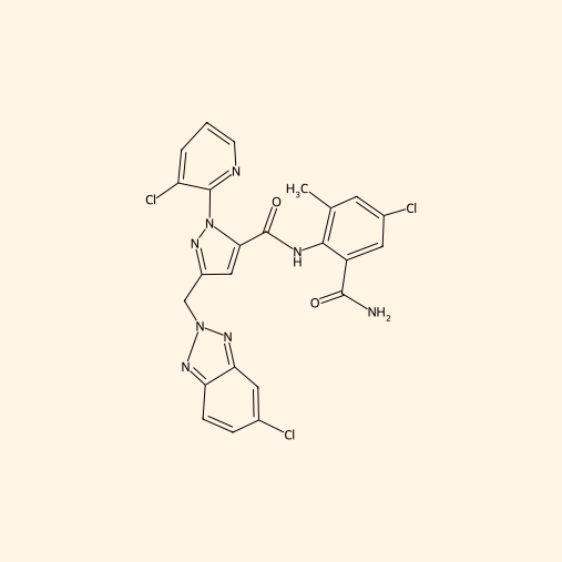 Cc1cc(Cl)cc(C(N)=O)c1NC(=O)c1cc(Cn2nc3ccc(Cl)cc3n2)nn1-c1ncccc1Cl